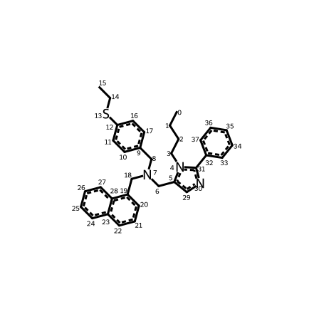 CCCCn1c(CN(Cc2ccc(SCC)cc2)Cc2cccc3ccccc23)cnc1-c1ccccc1